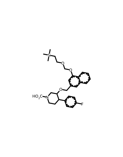 C[Si](C)(C)CCOCOc1cc(COC2CN(C(=O)O)CCC2c2ccc(F)cc2)cc2ccccc12